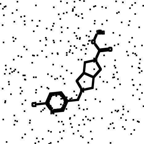 CC(C)(C)OC(=O)N1CC2CN(Cc3ccc(Cl)nc3)CC2C1